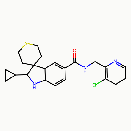 O=C(NCC1=C(Cl)CCC=N1)C1=CC2C(C=C1)NC(C1CC1)C21CCSCC1